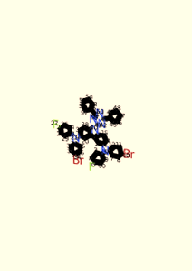 Fc1ccc(N(c2ccc(Br)cc2)c2ccc3c(c2)c2cc(N(c4ccc(F)cc4)c4ccc(Br)cc4)ccc2n3-c2nc(-c3ccccc3)nc(-c3ccccc3)n2)cc1